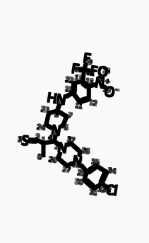 CC(C=S)C(N1CCC(Nc2ccc([N+](=O)[O-])c(C(F)(F)F)c2)CC1)N1CCN(c2ccc(Cl)cc2)CC1